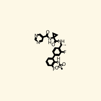 C[C@@H](NC(=O)C1(NC(=O)c2cncnc2)CC1)c1ccc(-c2cccc(F)c2NS(C)(=O)=O)cc1F